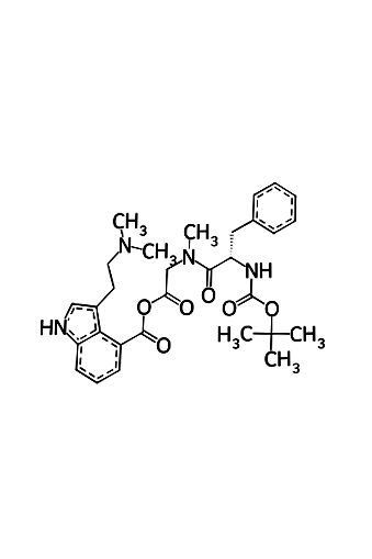 CN(C)CCc1c[nH]c2cccc(C(=O)OC(=O)CN(C)C(=O)[C@H](Cc3ccccc3)NC(=O)OC(C)(C)C)c12